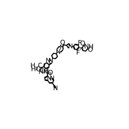 CC(C)(O)c1cc2nn([C@H]3CC[C@H](N4CCN(C(=O)C5CN(c6cc(F)c([C@H]7CCC(=O)NC7=O)c(F)c6)C5)CC4)CC3)cc2cc1NC(=O)c1ccc2cc(C#N)cnn12